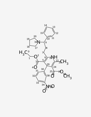 CCOC(=O)C1=C(CCC(c2ccccc2)N2CCCC2)NC(C)=C(C(=O)OC)C1c1cccc([N+](=O)[O-])c1